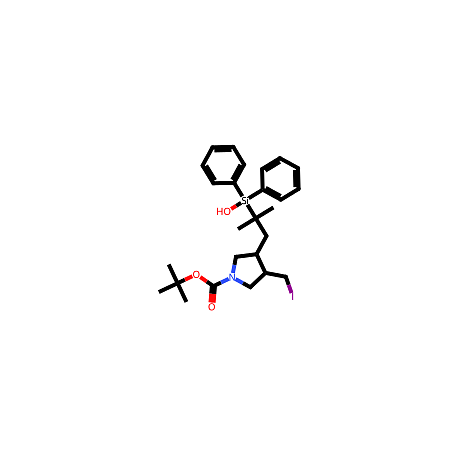 CC(C)(C)OC(=O)N1CC(CI)C(CC(C)(C)[Si](O)(c2ccccc2)c2ccccc2)C1